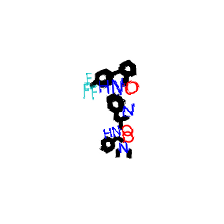 CCN(CC)C(=O)C(NC(=O)c1cnc2cc(NC(=O)c3ccccc3-c3ccc(C(F)(F)F)cc3)ccc2c1)c1ccccc1